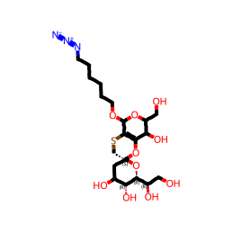 [N-]=[N+]=NCCCCCCOC1OC(CO)C(O)C2=C1SC[C@]1(CC(O)[C@@H](O)[C@@H]([C@H](O)CO)O1)O2